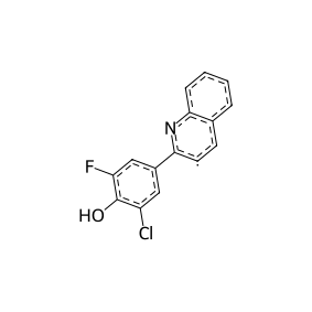 Oc1c(F)cc(-c2[c]cc3ccccc3n2)cc1Cl